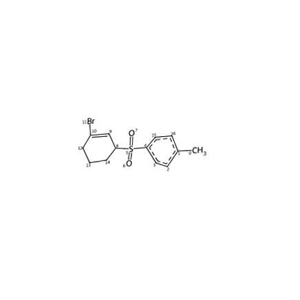 Cc1ccc(S(=O)(=O)C2C=C(Br)CCC2)cc1